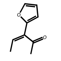 CC=C(C(C)=O)c1ccco1